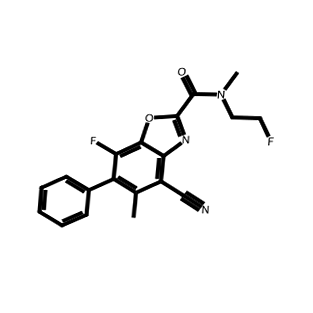 Cc1c(-c2ccccc2)c(F)c2oc(C(=O)N(C)CCF)nc2c1C#N